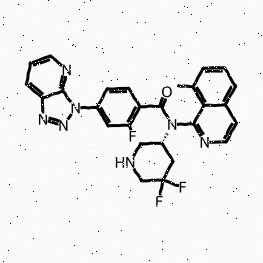 Cc1cccc2ccnc(N(C(=O)c3ccc(-n4nnc5cccnc54)cc3F)[C@H]3CNCC(F)(F)C3)c12